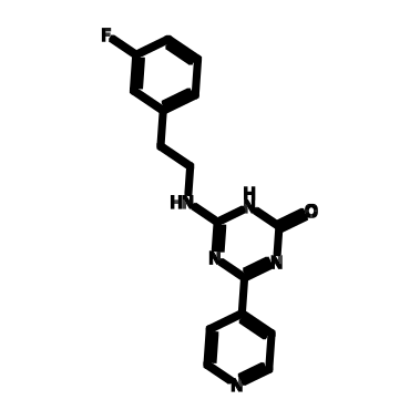 O=c1nc(-c2ccncc2)nc(NCCc2cccc(F)c2)[nH]1